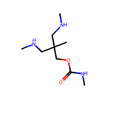 CNCC(C)(CNC)COC(=O)NC